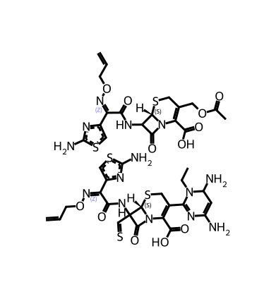 C=CCO/N=C(\C(=O)NC1(C=S)C(=O)N2C(C(=O)O)=C(C3=NC(N)=CC(N)N3CC)CS[C@H]21)c1csc(N)n1.C=CCO/N=C(\C(=O)NC1C(=O)N2C(C(=O)O)=C(COC(C)=O)CS[C@@H]12)c1csc(N)n1